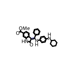 COC(=O)c1ccc2c(c1)NC(=O)/C2=C(\Nc1ccc(NC2CCCCC2)cc1)c1ccccc1